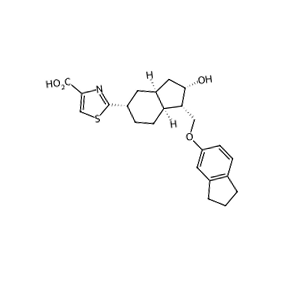 O=C(O)c1csc([C@H]2CC[C@H]3[C@@H](C2)C[C@H](O)[C@@H]3COc2ccc3c(c2)CCC3)n1